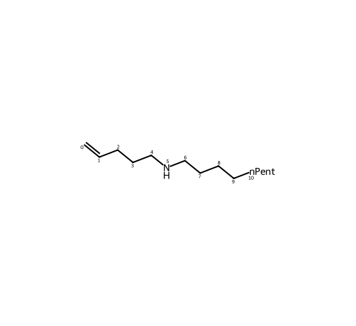 C=CCCCNCCCCCCCCC